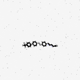 N#C/C=C/C=C/[C@H]1CC[C@H](OC[C@H]2CC[C@H](c3ccc(C(F)(F)F)cc3)CC2)CC1